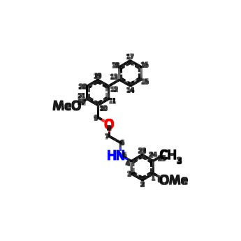 COc1ccc(NCCOCc2cc(-c3ccccc3)ccc2OC)cc1C